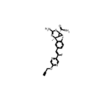 C#CCOc1cnc(/C(F)=C/c2ccc(F)c([C@@]3(C)N=C(N)S[C@@]4(C(N)=O)CC43)c2)cn1